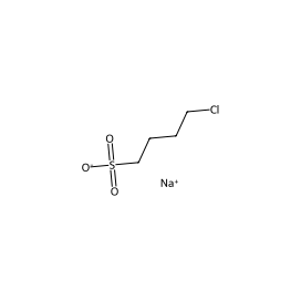 O=S(=O)([O-])CCCCCl.[Na+]